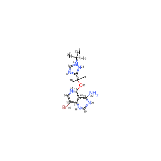 [2H]C([2H])([2H])n1cnc(C(C)(C)Oc2ncc(Br)c3ncnc(N)c23)n1